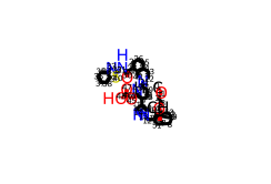 COCCOC12CC3CC(CC(Cn4ncc(-c5ccc(N6CCc7cccc(C(=O)Nc8nc9ccccc9s8)c7C6)nc5OC(=O)O)c4C)(C3)C1)C2